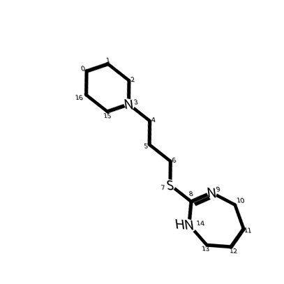 C1CCN(CCCSC2=NCCCCN2)CC1